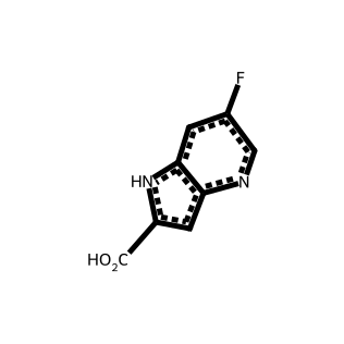 O=C(O)c1cc2ncc(F)cc2[nH]1